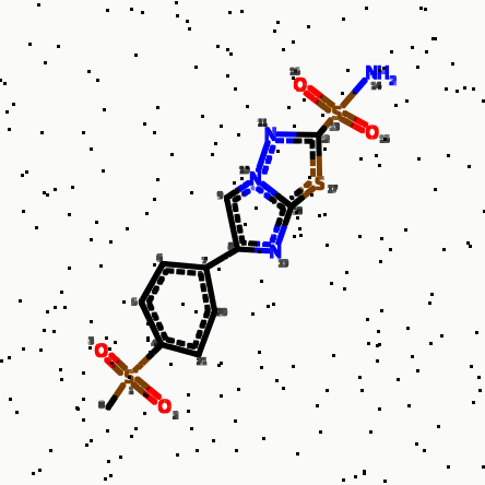 CS(=O)(=O)c1ccc(-c2cn3nc(S(N)(=O)=O)sc3n2)cc1